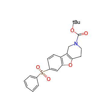 CC(C)(C)OC(=O)N1CCc2oc3cc(S(=O)(=O)c4ccccc4)ccc3c2C1